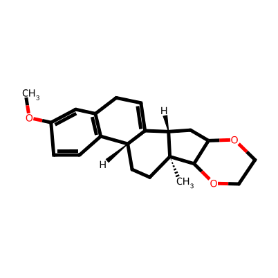 COc1ccc2c(c1)CC=C1[C@@H]2CC[C@]2(C)C3OCCOC3C[C@@H]12